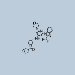 O=C(C1CCOC1)N1CC[C@H](CNc2cc(-n3c(C(F)F)nc4ccccc43)nc(N3CCOCC3)n2)C1